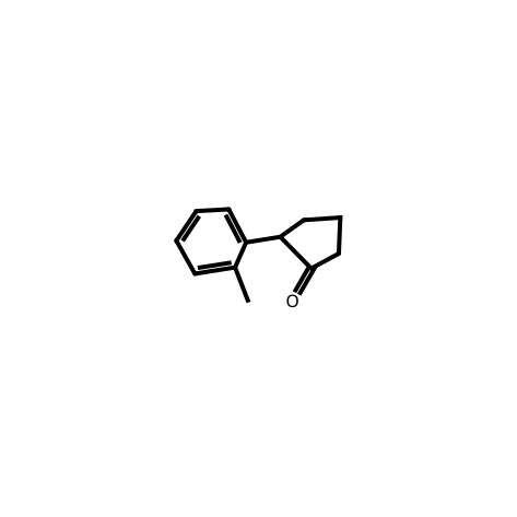 Cc1ccccc1C1CCCC1=O